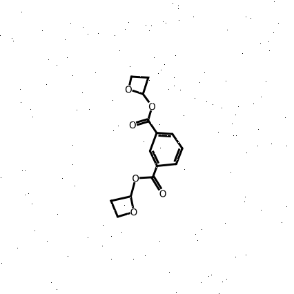 O=C(OC1CCO1)c1cccc(C(=O)OC2CCO2)c1